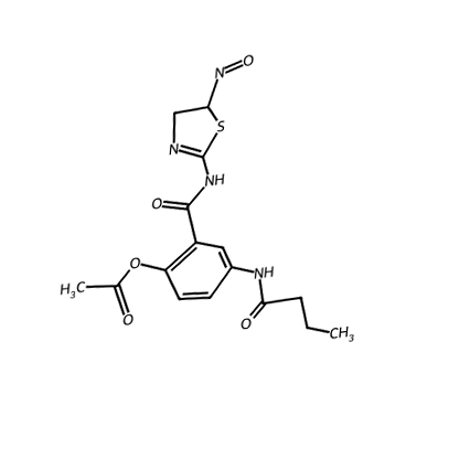 CCCC(=O)Nc1ccc(OC(C)=O)c(C(=O)NC2=NCC(N=O)S2)c1